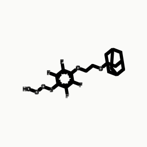 OOOSc1c(F)c(F)c(OCCOC23CC4CC(CC(C4)C2)C3)c(F)c1F